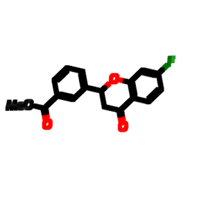 COC(=O)c1cccc(C2CC(=O)c3ccc(F)cc3O2)c1